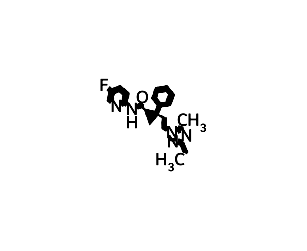 CCc1nc(C)n(CC[C@@]2(C3C=CC=CC3)C[C@H]2C(=O)Nc2ccc(F)cn2)n1